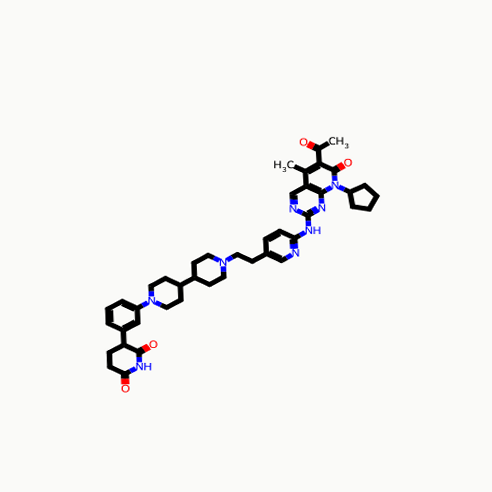 CC(=O)c1c(C)c2cnc(Nc3ccc(CCN4CCC(C5CCN(c6cccc(C7CCC(=O)NC7=O)c6)CC5)CC4)cn3)nc2n(C2CCCC2)c1=O